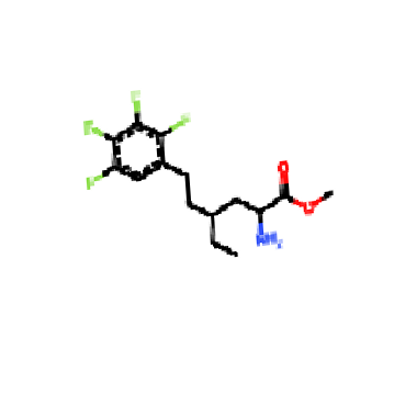 CCC(CCc1cc(F)c(F)c(F)c1F)CC(N)C(=O)OC